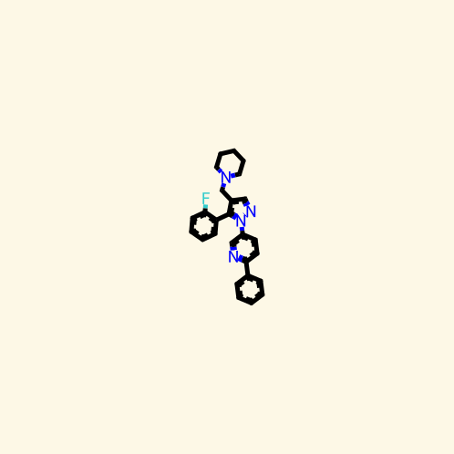 Fc1ccccc1-c1c(CN2CCCCC2)cnn1-c1ccc(-c2ccccc2)nc1